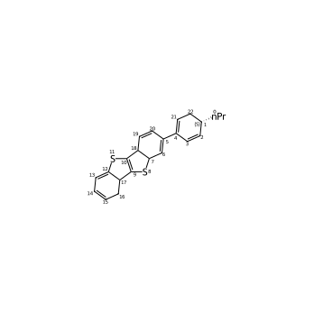 CCC[C@@H]1C=CC(C2=CC3SC4=C(SC5=CC=CCC54)C3C=C2)=CC1